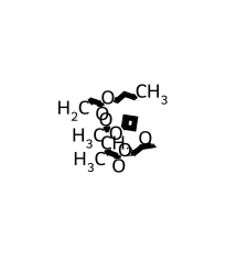 C=C(C)C(=O)OCC1CO1.C=CC(=O)OCCCC.CC(=O)OC1=CCC1